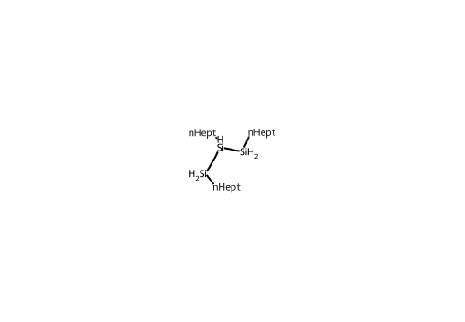 CCCCCCC[SiH2][SiH](CCCCCCC)[SiH2]CCCCCCC